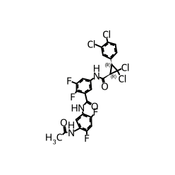 CC(=O)Nc1cc(NC(=O)c2cc(NC(=O)[C@H]3[C@H](c4ccc(Cl)c(Cl)c4)C3(Cl)Cl)cc(F)c2F)c(F)cc1F